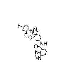 CC1=NN(c2ccc(F)cc2Cl)C(=O)[C@]12CC[C@H](NC(=O)c1cccc3nccnc13)CC2